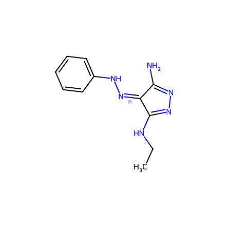 CCNC1=NN=C(N)/C1=N\Nc1ccccc1